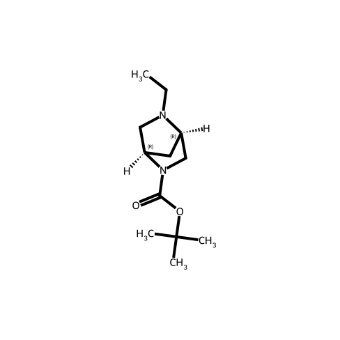 CCN1C[C@H]2C[C@@H]1CN2C(=O)OC(C)(C)C